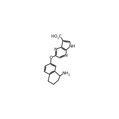 NC1CCCc2ccc(Oc3cnc4[nH]cc(C(=O)O)c4n3)cc21